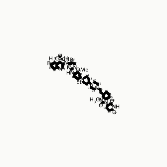 CCc1cc(Nc2ncc(Br)c(Nc3cnc4ccc(F)cc4c3P(C)(C)=O)n2)c(OC)cc1N1CCC(N2CCN(CCc3cccc4c3n(C)c(=O)n4C3CCC(=O)NC3=O)CC2)CC1